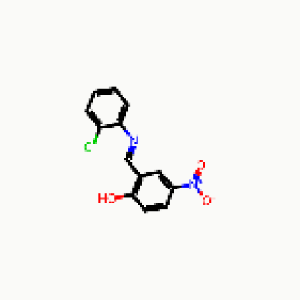 O=[N+]([O-])c1ccc(O)c(C=Nc2ccccc2Cl)c1